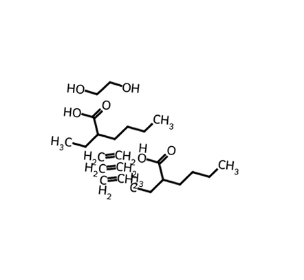 C=C.C=C.C=C.CCCCC(CC)C(=O)O.CCCCC(CC)C(=O)O.OCCO